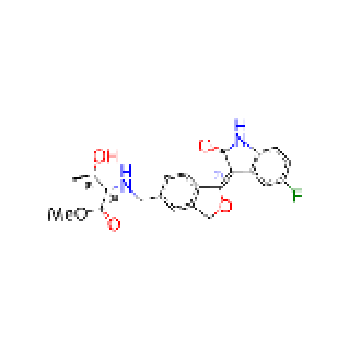 COC(=O)[C@@H](NCc1ccc2c(c1)CO/C2=C1/C(=O)Nc2ccc(F)cc21)[C@@H](C)O